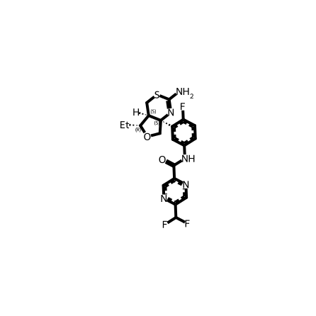 CC[C@H]1OC[C@]2(c3cc(NC(=O)c4cnc(C(F)F)cn4)ccc3F)N=C(N)SC[C@H]12